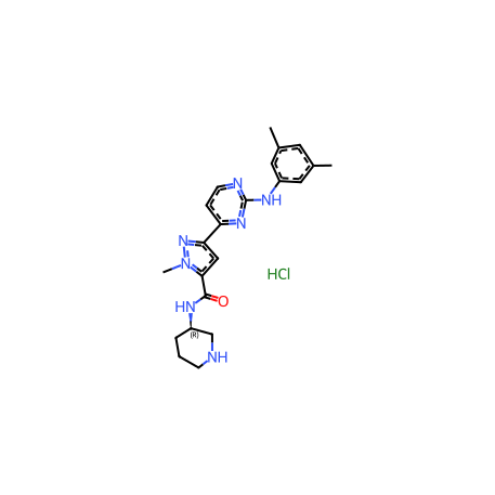 Cc1cc(C)cc(Nc2nccc(-c3cc(C(=O)N[C@@H]4CCCNC4)n(C)n3)n2)c1.Cl